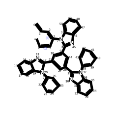 C=C/C=C(\C=C/C)n1c(-c2cc(-c3nc4ccccc4n3-c3ccccc3)cc(-c3nc4ccccc4n3-c3ccccc3)c2)nc2ccccc21